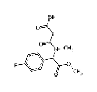 COC(=O)C(c1ccc(F)cc1)N(C)C(=O)CC(=O)O